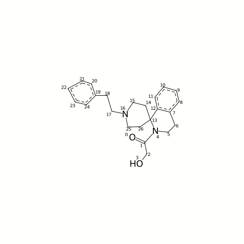 O=C(CO)N1CCc2ccccc2C12CCN(CCc1ccccc1)CC2